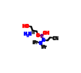 CC(C)N(C(C)C)N(CCC#N)P(O)OC[C@H](N)CO